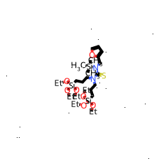 CCO[Si](CCCN(CCC[Si](OCC)(OCC)OCC)C(=S)N(Cc1ccco1)[Si](C)(C)C)(OCC)OCC